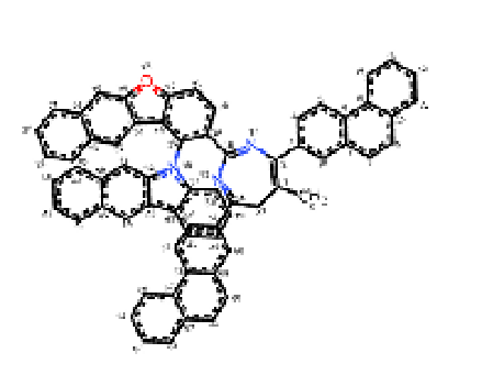 CC1=C(c2ccc3c(ccc4ccccc43)c2)N=C(c2ccc3oc4cc5ccccc5cc4c3c2-n2c3ccccc3c3cc4ccccc4cc32)N=C(c2ccc3c(ccc4ccccc43)c2)C1